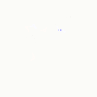 COCC(N)COc1noc2ccc(OCc3ccccc3)cc12